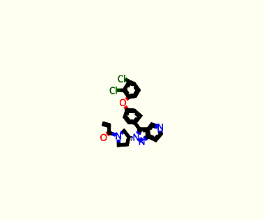 C=CC(=O)N1CC[C@@H](n2nc3ccncc3c2-c2ccc(Oc3cccc(Cl)c3Cl)cc2)C1